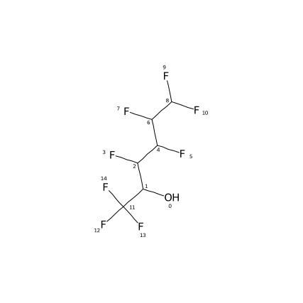 OC(C(F)C(F)C(F)C(F)F)C(F)(F)F